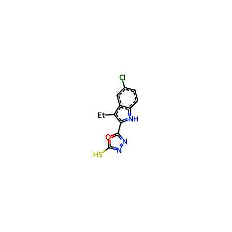 CCc1c(-c2nnc(S)o2)[nH]c2ccc(Cl)cc12